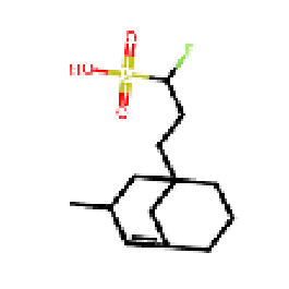 CC1C=C2CCCC(CCC(F)S(=O)(=O)O)(C2)C1